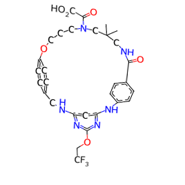 CC1(C)CNC(=O)c2ccc(cc2)Nc2cc(nc(OCC(F)(F)F)n2)NCc2ccc(cc2)OCCCN(C(=O)C(=O)O)C1